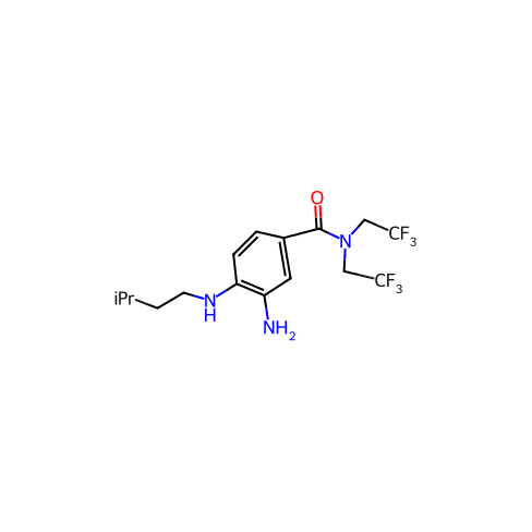 CC(C)CCNc1ccc(C(=O)N(CC(F)(F)F)CC(F)(F)F)cc1N